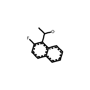 CC([O])c1c(F)ccc2ccccc12